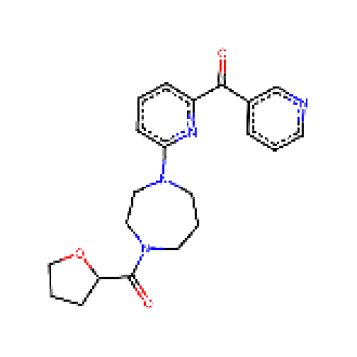 O=C(c1cccnc1)c1cccc(N2CCCN(C(=O)C3CCCO3)CC2)n1